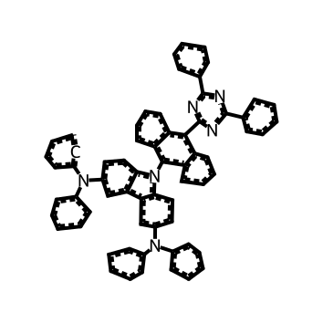 c1ccc(-c2nc(-c3ccccc3)nc(-c3c4ccccc4c(-n4c5ccc(N(c6ccccc6)c6ccccc6)cc5c5cc(N(c6ccccc6)c6ccccc6)ccc54)c4ccccc34)n2)cc1